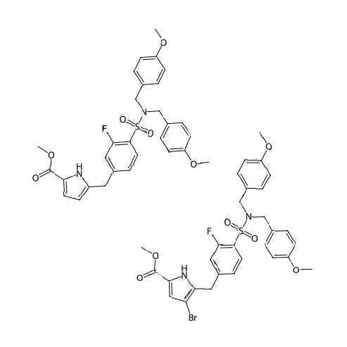 COC(=O)c1cc(Br)c(Cc2ccc(S(=O)(=O)N(Cc3ccc(OC)cc3)Cc3ccc(OC)cc3)c(F)c2)[nH]1.COC(=O)c1ccc(Cc2ccc(S(=O)(=O)N(Cc3ccc(OC)cc3)Cc3ccc(OC)cc3)c(F)c2)[nH]1